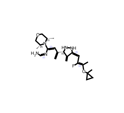 C=C(/C=C(\N=C/N)N1[C@H](C)COC[C@@H]1C)[C@@H]1NN/C(=C/C(F)=C(\C)OC2(C)CC2)C1=C